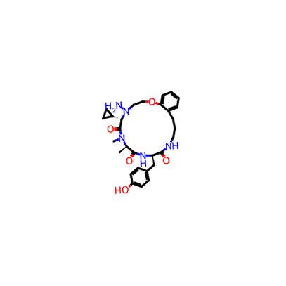 C[C@@H]1C(=O)N[C@H](Cc2ccc(O)cc2)C(=O)NCCCc2ccccc2OCCN(N)[C@@H](C2CC2)C(=O)N1C